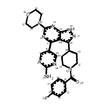 Nc1ncc(-c2nc(N3CCOCC3)nc3[nH]nc(C4CCN(C(=O)c5ccc(F)cc5)CC4)c23)cn1